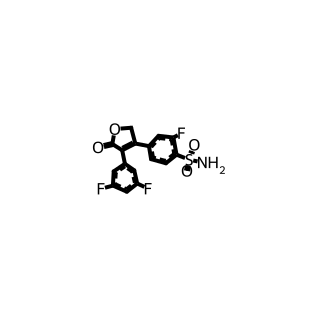 NS(=O)(=O)c1ccc(C2=C(c3cc(F)cc(F)c3)C(=O)OC2)cc1F